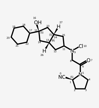 N#C[C@@H]1CCCN1C(=O)CN(Cl)C1C[C@@H]2C[C@](O)(C3CCCCC3)C[C@@H]2C1